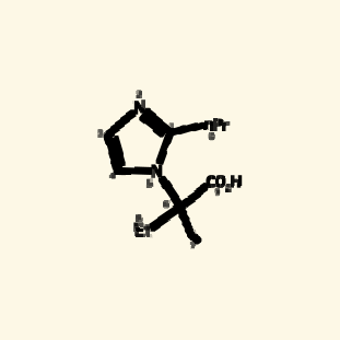 CCCc1nccn1C(C)(CC)C(=O)O